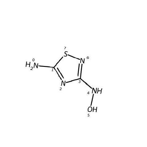 Nc1nc(NO)ns1